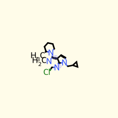 C=N/C(=C1/C=CN(CC2CC2)/C1=N/CCl)N1CCCCC1C